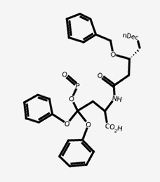 CCCCCCCCCCC[C@H](CC(=O)NC(CC(OP=O)(Oc1ccccc1)Oc1ccccc1)C(=O)O)OCc1ccccc1